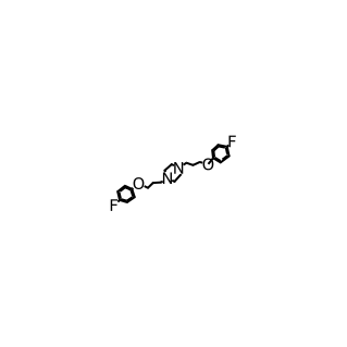 Fc1ccc(OCCCN2CCN(CCCOc3ccc(F)cc3)CC2)cc1